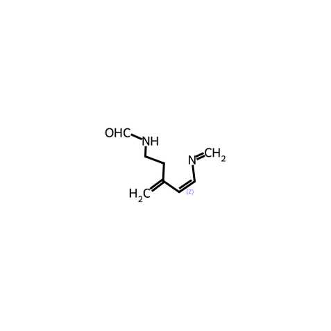 C=N/C=C\C(=C)CCNC=O